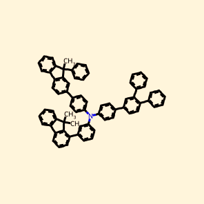 CC1(C)c2ccccc2-c2cccc(-c3cccc(N(c4ccc(-c5ccc(-c6ccccc6)c(-c6ccccc6)c5)cc4)c4ccc(-c5ccc6c(c5)C(C)(c5ccccc5)c5ccccc5-6)cc4)c3)c21